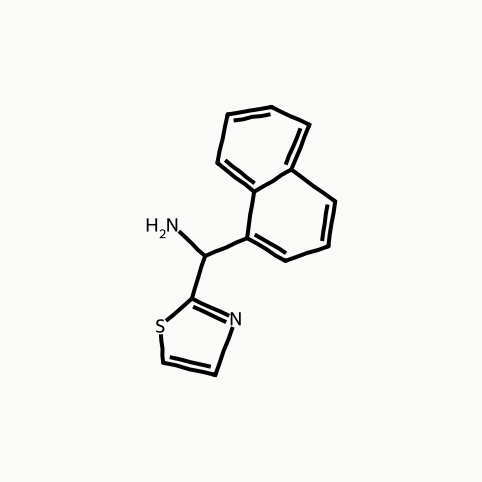 NC(c1nccs1)c1cccc2ccccc12